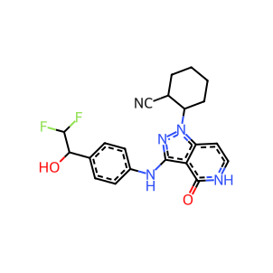 N#CC1CCCCC1n1nc(Nc2ccc(C(O)C(F)F)cc2)c2c(=O)[nH]ccc21